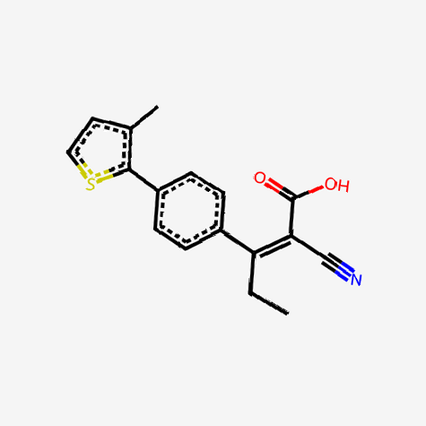 CCC(=C(C#N)C(=O)O)c1ccc(-c2sccc2C)cc1